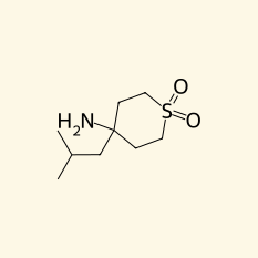 CC(C)CC1(N)CCS(=O)(=O)CC1